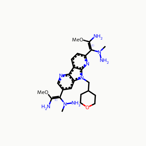 CO/C(N)=C(\c1cnc2c3ccc(/C(=C(/N)OC)N(C)N)nc3n(CC3CCOCC3)c2c1)N(C)N